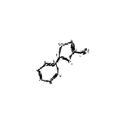 Brc1csc(-c2ccccc2)n1